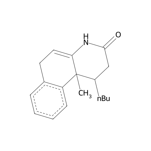 CCCCC1CC(=O)NC2=CCc3ccccc3C21C